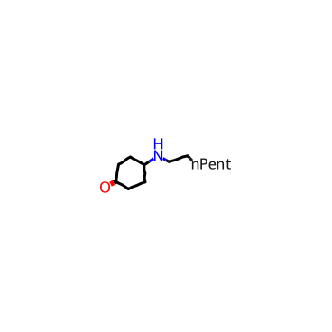 CCCCCCCNC1CCC(=O)CC1